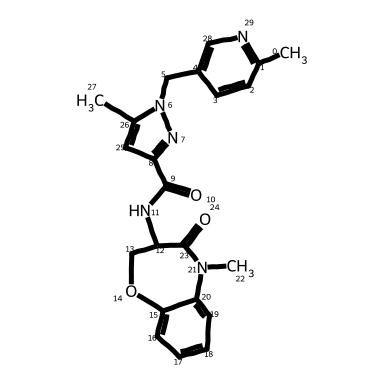 Cc1ccc(Cn2nc(C(=O)NC3COc4ccccc4N(C)C3=O)cc2C)cn1